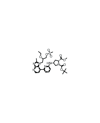 CCOC(COS(C)(=O)=O)Cn1c(C)nc2nccc(-c3cccc(N[C@H]4C[C@@H](C(=O)OC)N(C(=O)OC(C)(C)C)C4)n3)c21